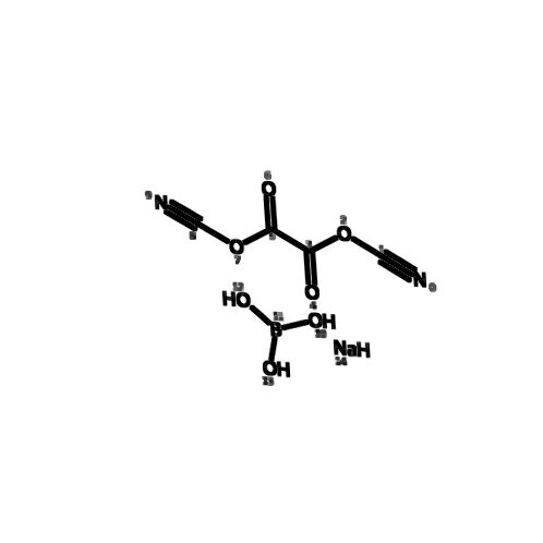 N#COC(=O)C(=O)OC#N.OB(O)O.[NaH]